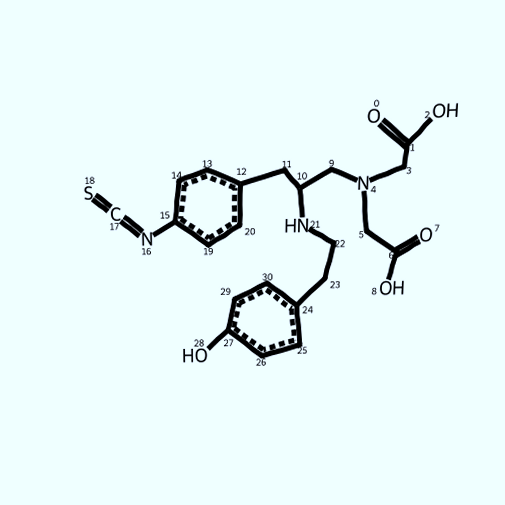 O=C(O)CN(CC(=O)O)CC(Cc1ccc(N=C=S)cc1)NCCc1ccc(O)cc1